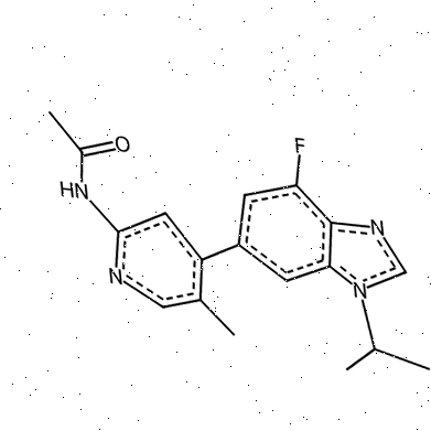 CC(=O)Nc1cc(-c2cc(F)c3ncn(C(C)C)c3c2)c(C)cn1